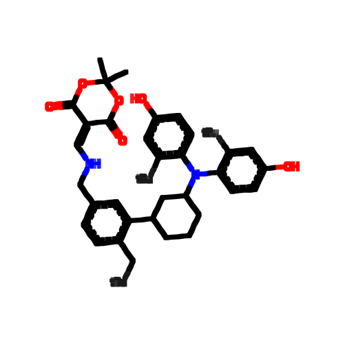 CC(C)(C)Cc1ccc(CNC=C2C(=O)OC(C)(C)OC2=O)cc1C1CCCC(N(c2ccc(O)cc2C(C)(C)C)c2ccc(O)cc2C(C)(C)C)C1